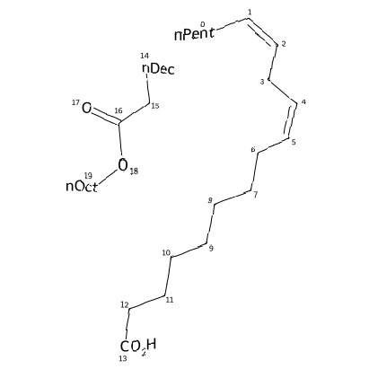 CCCCC/C=C\C/C=C\CCCCCCCC(=O)O.CCCCCCCCCCCC(=O)OCCCCCCCC